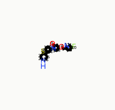 O=c1cc(OCc2ccc(F)cn2)ccn1-c1ccc2sc3c(c2c1)CCNCC3